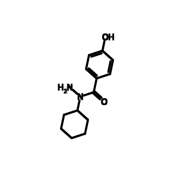 NN(C(=O)c1ccc(O)cc1)C1CCCCC1